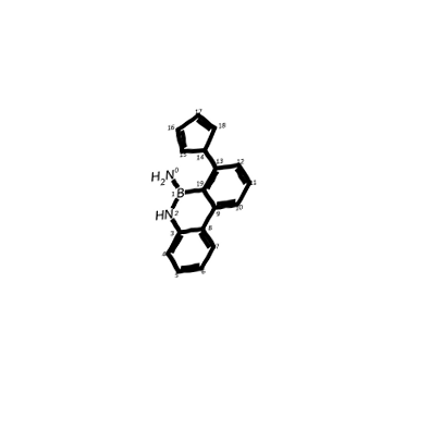 NB1Nc2ccccc2-c2cccc(C3C=CC=C3)c21